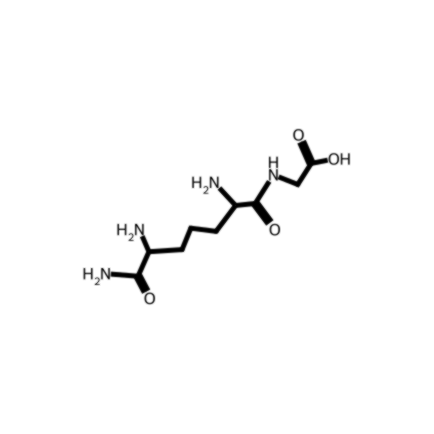 NC(=O)C(N)CCCC(N)C(=O)NCC(=O)O